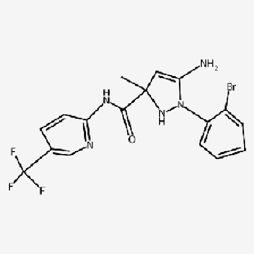 CC1(C(=O)Nc2ccc(C(F)(F)F)cn2)C=C(N)N(c2ccccc2Br)N1